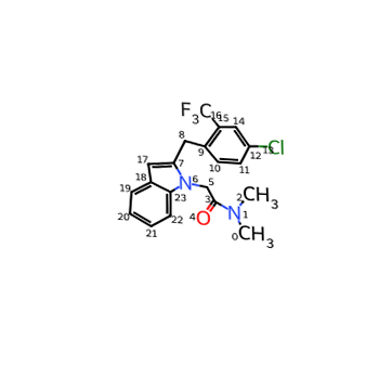 CN(C)C(=O)Cn1c(Cc2ccc(Cl)cc2C(F)(F)F)cc2ccccc21